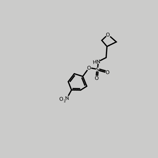 O=[N+]([O-])c1ccc(OS(=O)(=O)NCC2COC2)cc1